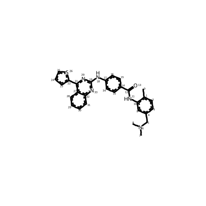 Cc1ccc(CN(C)C)cc1NC(=O)c1ccc(Nc2nc(-c3cccs3)c3ccccc3n2)cc1